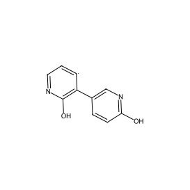 Oc1ccc(-c2[c]ccnc2O)cn1